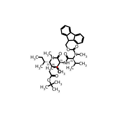 CCC(C)[C@@H]([C@H](C=O)CC(=O)OC(C)(C)C)N(C)C(=O)[C@@H](NC(=O)[C@H](C(C)C)N(C)C(=O)OCC1c2ccccc2-c2ccccc21)C(C)C